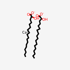 CCCCCCCCCCCCCCCCC(O)C(=O)[O-].CCCCCCCCCCCCCCCCC(O)C(=O)[O-].[Ca+2]